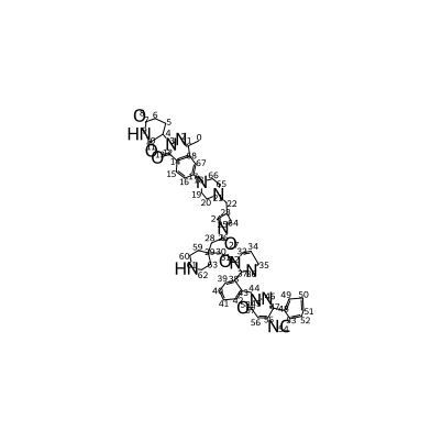 Cc1nn(C2CCC(=O)NC2=O)c(=O)c2ccc(N3CCN(CC4CN(C(=O)CC5(CON6C=CC=NC6c6ccccc6Cn6nc(-c7ccccc7C#N)ccc6=O)CCNCC5)C4)CC3)cc12